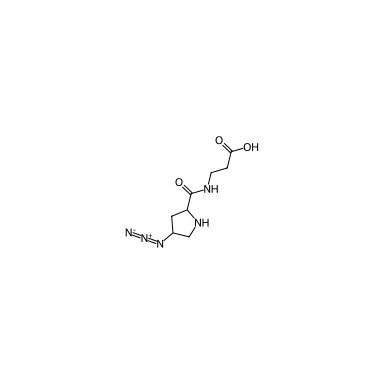 [N-]=[N+]=NC1CNC(C(=O)NCCC(=O)O)C1